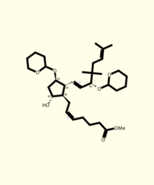 COC(=O)CCC/C=C\C[C@@H]1[C@@H](/C=C/[C@@H](OC2CCCCO2)C(C)(C)CC=C(C)C)[C@H](OC2CCCCO2)C[C@H]1O